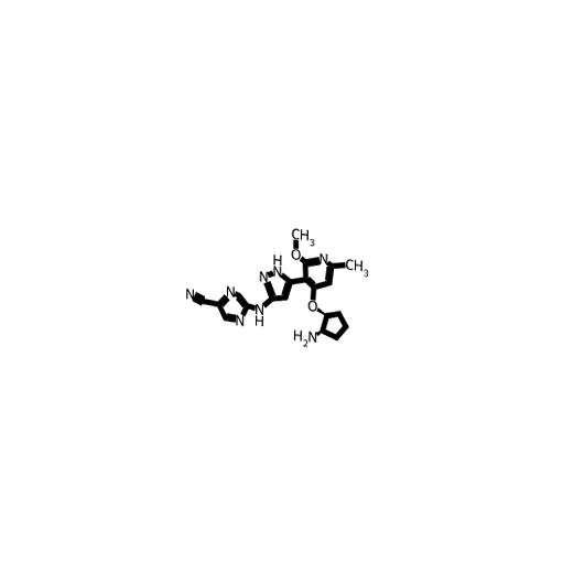 COc1nc(C)cc(O[C@H]2CCC[C@H]2N)c1-c1cc(Nc2cnc(C#N)cn2)n[nH]1